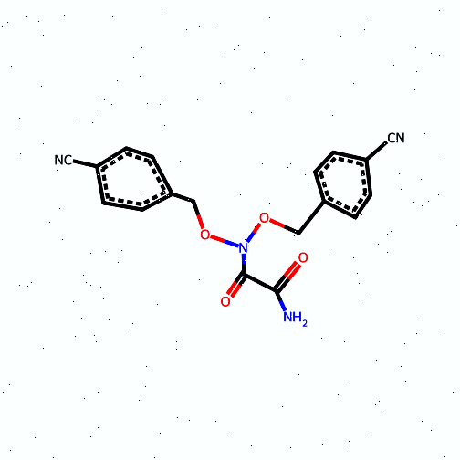 N#Cc1ccc(CON(OCc2ccc(C#N)cc2)C(=O)C(N)=O)cc1